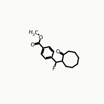 COC(=O)c1ccc(C(F)C2CCCCCCC2=O)cc1